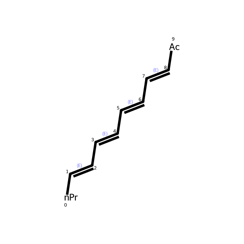 CCC/C=C/C=C/C=C/C=C/C(C)=O